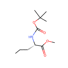 CCC[C@H](NC(=O)OC(C)(C)C)C(=O)OC